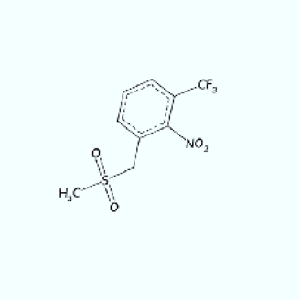 CS(=O)(=O)Cc1cccc(C(F)(F)F)c1[N+](=O)[O-]